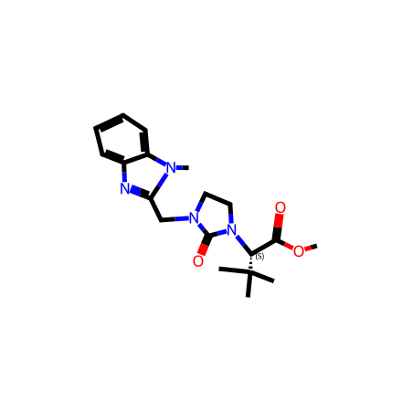 COC(=O)[C@@H](N1CCN(Cc2nc3ccccc3n2C)C1=O)C(C)(C)C